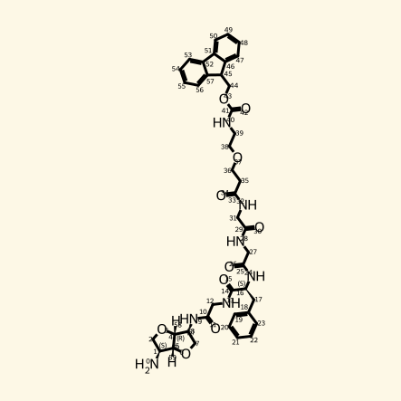 N[C@H]1CO[C@H]2[C@@H]1OC[C@@H]2NC(=O)CNC(=O)[C@H](Cc1ccccc1)NC(=O)CNC(=O)CNC(=O)CCOCCNC(=O)OCC1c2ccccc2-c2ccccc21